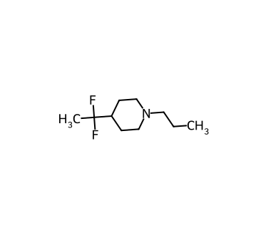 CCCN1CCC(C(C)(F)F)CC1